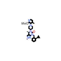 COc1nccc(C)c1N1CCC(N2C(=O)N(Cc3ccccc3C3CC3)c3nn(C)cc3[C@H]2C)CC1